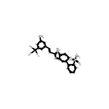 Cc1cc(/C=C/c2nc3cc(-c4ccccc4S(N)(=O)=O)ccc3[nH]2)cc(C(F)(F)F)c1